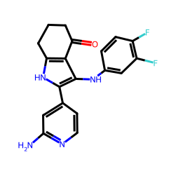 Nc1cc(-c2[nH]c3c(c2Nc2ccc(F)c(F)c2)C(=O)CCC3)ccn1